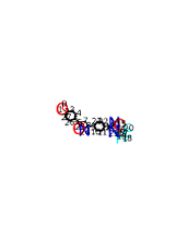 COc1ccc(C2CC(c3ccc(-c4noc(C(F)(F)F)n4)cc3)=NO2)cc1